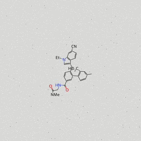 CCn1cc(Cc2ccc(C(=O)NCC(=O)NC)cc2-c2ccc(C)cc2C(=O)O)c2ccc(C#N)cc21